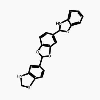 c1ccc2c(c1)NC(c1ccc3c(c1)OC(c1ccc4c(c1)NCS4)O3)O2